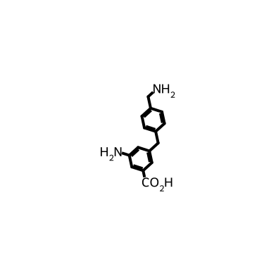 NCc1ccc(Cc2cc(N)cc(C(=O)O)c2)cc1